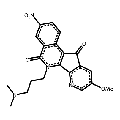 COc1cnc2c(c1)C(=O)c1c-2n(CCCN(C)C)c(=O)c2cc([N+](=O)[O-])ccc12